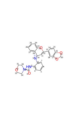 O=C(Nc1ccccc1/N=c1\cc(-c2ccc3c(c2)OCO3)oc2ccccc12)N1CCOCC1